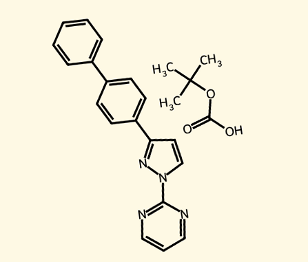 CC(C)(C)OC(=O)O.c1ccc(-c2ccc(-c3ccn(-c4ncccn4)n3)cc2)cc1